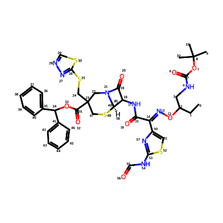 CCC(CNC(=O)OC(C)(C)C)ON=C(C(=O)NC1C(=O)N2CC(CSc3nncs3)(C(=O)OC(c3ccccc3)c3ccccc3)CS[C@H]12)c1csc(NC=O)n1